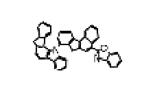 c1ccc2c(c1)Cc1ccc3c4ccccc4n(-c4cccc5c4Cc4cc(-c6nc7ccccc7o6)c6ccccc6c4-5)c3c1-2